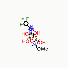 COCCN(C)C(=O)C(S[C@@H]1O[C@H](CO)[C@H](O)[C@H](n2cc(-c3cc(F)c(F)c(F)c3)nn2)[C@H]1O)C(C)(C)O